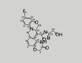 O=C1COc2ccc(CN3c4ccc(F)cc4OC[C@H]3Cc3nc(CO)no3)cc2N1